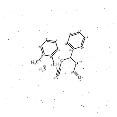 Cc1ccccc1C.N#COC(OC=O)c1ccccc1.S